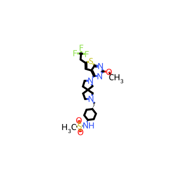 COc1nc(N2CCC3(CCN(C[C@H]4CC[C@H](NS(C)(=O)=O)CC4)C3)C2)c2cc(CC(F)(F)F)sc2n1